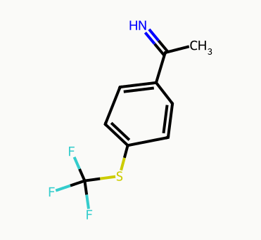 CC(=N)c1ccc(SC(F)(F)F)cc1